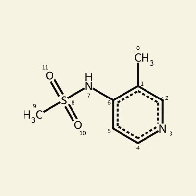 Cc1[c]nccc1NS(C)(=O)=O